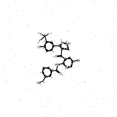 O=C(Nc1ncc(Br)cc1C(=O)c1c[nH]nc1-c1ccc(Cl)c(C(F)(F)F)c1)c1cccc(CCl)c1